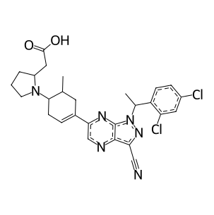 CC1CC(c2cnc3c(C#N)nn(C(C)c4ccc(Cl)cc4Cl)c3n2)=CCC1N1CCCC1CC(=O)O